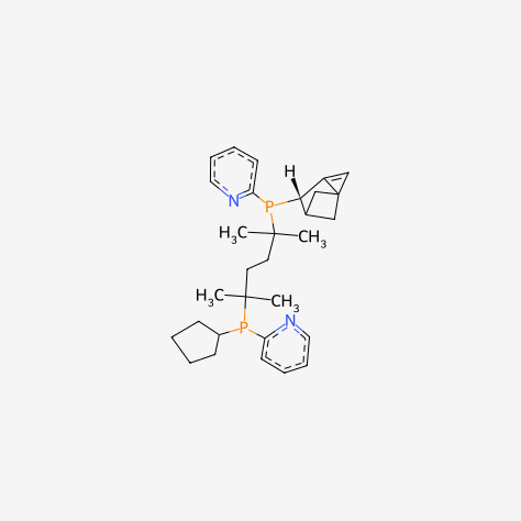 CC(C)(CCC(C)(C)P(c1ccccn1)[C@@H]1C2=CC23CC1C3)P(c1ccccn1)C1CCCC1